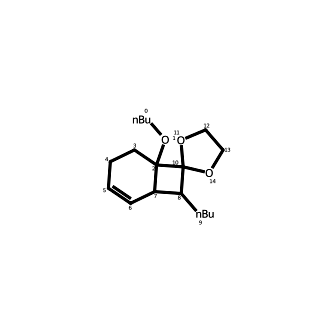 CCCCOC12CCC=CC1C(CCCC)C21OCCO1